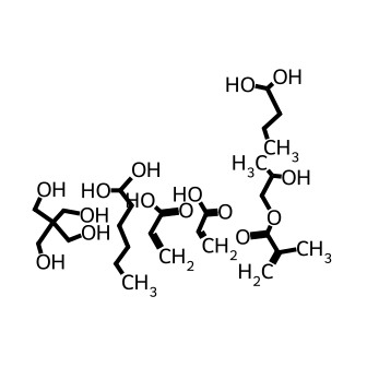 C=C(C)C(=O)OCC(C)O.C=CC(=O)O.C=CC(=O)O.CCCC(O)O.CCCCCC(O)O.OCC(CO)(CO)CO